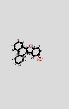 Brc1ccc2oc3c4ccccc4c4ccccc4c3c2c1